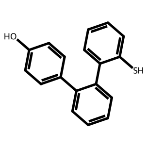 Oc1ccc(-c2ccccc2-c2ccccc2S)cc1